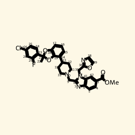 COC(=O)c1ccc2nc(CN3CCC(c4cccc5c4OC(C)(c4ccc(Cl)cc4F)O5)CC3)n(Cc3ncco3)c2c1